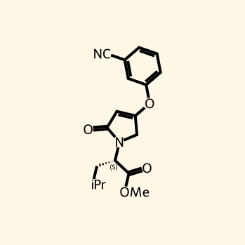 COC(=O)[C@H](CC(C)C)N1CC(Oc2cccc(C#N)c2)=CC1=O